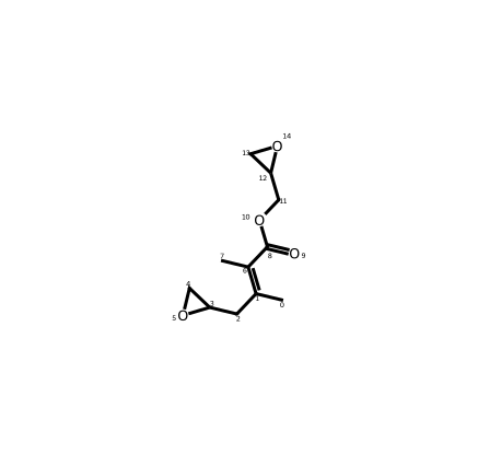 CC(CC1CO1)=C(C)C(=O)OCC1CO1